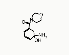 NC1(O)C=CC=C(C(=O)N2CCOCC2)C1